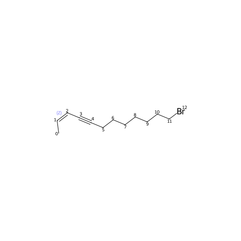 C/C=C\C#CCCCCCCCBr